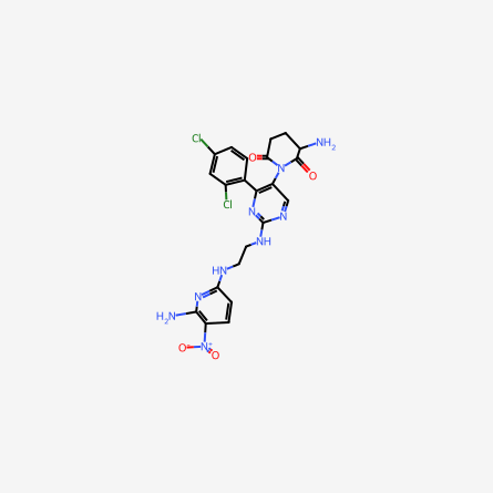 Nc1nc(NCCNc2ncc(N3C(=O)CCC(N)C3=O)c(-c3ccc(Cl)cc3Cl)n2)ccc1[N+](=O)[O-]